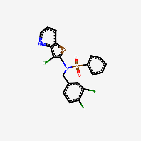 O=S(=O)(c1ccccc1)N(Cc1ccc(F)c(F)c1)c1sc2cccnc2c1Cl